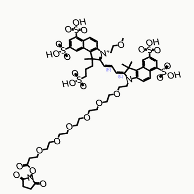 COCC[N+]1=C(/C=C/C=C2/N(CCOCCOCCOCCOCCOCCOCCC(=O)ON3C(=O)CCC3=O)c3ccc4c(S(=O)(=O)O)cc(S(=O)(=O)O)cc4c3C2(C)C)C(C)(CCCS(=O)(=O)O)c2c1ccc1c(S(=O)(=O)O)cc(S(=O)(=O)O)cc21